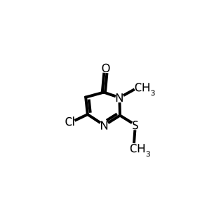 CSc1nc(Cl)cc(=O)n1C